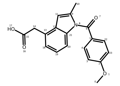 COc1ccc(C(=O)n2c(C)cc3c(CC(=O)O)cccc32)cc1